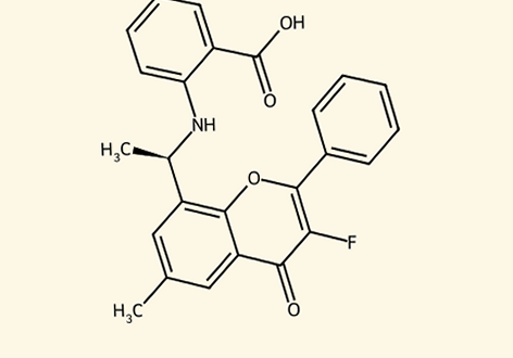 Cc1cc([C@@H](C)Nc2ccccc2C(=O)O)c2oc(-c3ccccc3)c(F)c(=O)c2c1